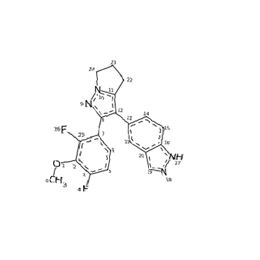 COc1c(F)ccc(-c2nn3c(c2-c2ccc4[nH]ncc4c2)CCC3)c1F